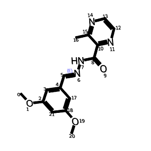 COc1cc(/C=N/NC(=O)c2nccnc2C)cc(OC)c1